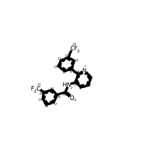 O=C(Nc1cccnc1-c1cccc(C(F)(F)F)c1)c1cccc(C(F)(F)F)c1